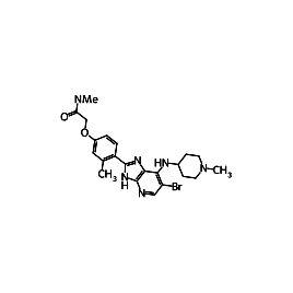 CNC(=O)COc1ccc(-c2nc3c(NC4CCN(C)CC4)c(Br)cnc3[nH]2)c(C)c1